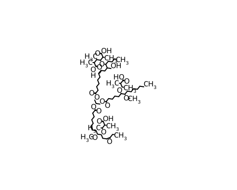 CCCCCCCC(OC)C(CCCCC(=O)OCC(COC(=O)CCCCC/C=C\CC(CO)C(CCCC)OC(C(C)C(=O)O)C(C)C(C)C(=O)O)OC(=O)CCCC/C=C\CC(OC)C(CC1OC1CC)OC(C)C(C)C(=O)O)OC(C)C(C)C(=O)O